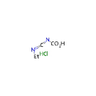 CCN=C=NC(=O)O.Cl